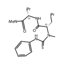 CNC(=O)[C@@H](NC(=O)[C@H](CC(C)C)N(C)C(=S)Nc1ccccc1)C(C)C